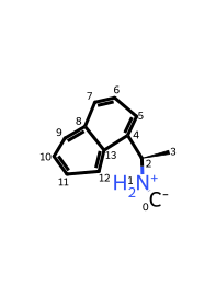 [CH2-][NH2+][C@H](C)c1cccc2ccccc12